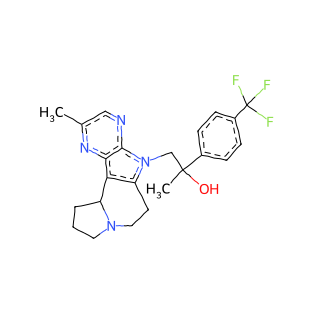 Cc1cnc2c(n1)c1c(n2CC(C)(O)c2ccc(C(F)(F)F)cc2)CCN2CCCC12